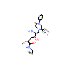 C[C@H](C[C@H](O)[C@@H](N)CN1CC(=O)N(c2ccccc2)CC1(C)C)C(=O)NCC(C)(C)C